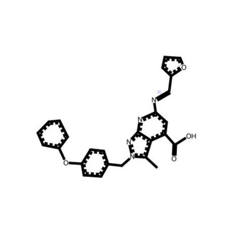 Cc1c2c(C(=O)O)cc(/N=C/c3ccco3)nc2nn1Cc1ccc(Oc2ccccc2)cc1